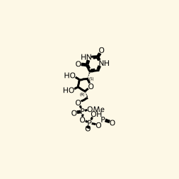 COP(=O)(OC[C@H]1O[C@@H](c2c[nH]c(=O)[nH]c2=O)C(O)C1O)OP(=O)(O)OP=O